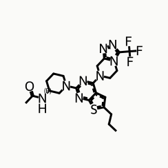 CCCc1cc2c(N3CCn4c(nnc4C(F)(F)F)C3)nc(N3CCC[C@@H](NC(C)=O)C3)nc2s1